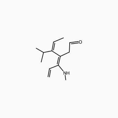 C=C/C(NC)=C(CC=O)\C(=C/C)C(C)C